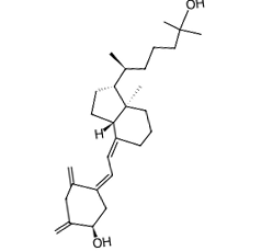 C=C1CC(=C)[C@H](O)C/C1=C/C=C1\CCC[C@]2(C)[C@@H]([C@@H](C)CCCC(C)(C)O)CC[C@@H]12